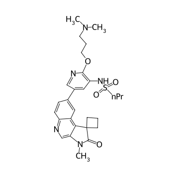 CCCS(=O)(=O)Nc1cc(-c2ccc3ncc4c(c3c2)C2(CCC2)C(=O)N4C)cnc1OCCCN(C)C